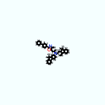 C=C(/C=c1/oc(-c2ccc(-c3ccccc3)cc2)nc1=C)N(C/C=C1\C(=C/C)c2ccccc2C1(C)C)c1ccc2c(c1)C(C)(C)c1ccccc1-2